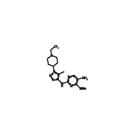 CNc1nc(Nc2cnn(C3CCN(CC(F)(F)F)CC3)c2C)ncc1N